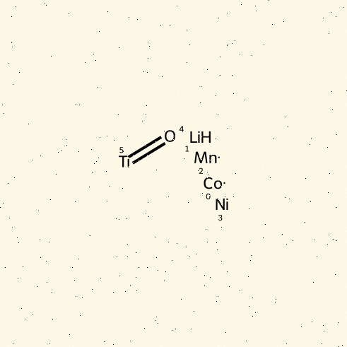 [Co].[LiH].[Mn].[Ni].[O]=[Ti]